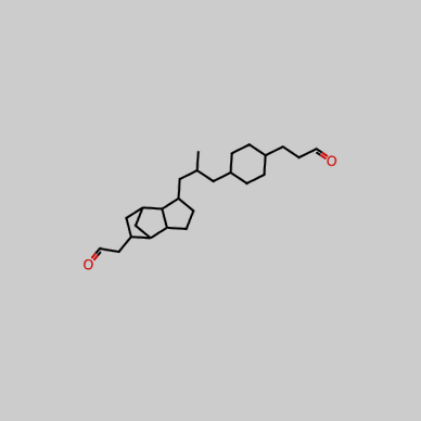 CC(CC1CCC(CCC=O)CC1)CC1CCC2C3CC(CC3CC=O)C12